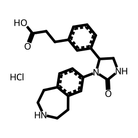 Cl.O=C(O)CCc1cccc(C2CNC(=O)N2c2ccc3c(c2)CCNCC3)c1